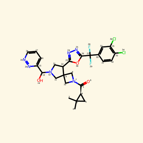 CC1(C)C[C@@H]1C(=O)N1CC2(C1)CN(C(O)c1cccnn1)CC2c1nnc(C(F)(F)c2ccc(Cl)c(Cl)c2)o1